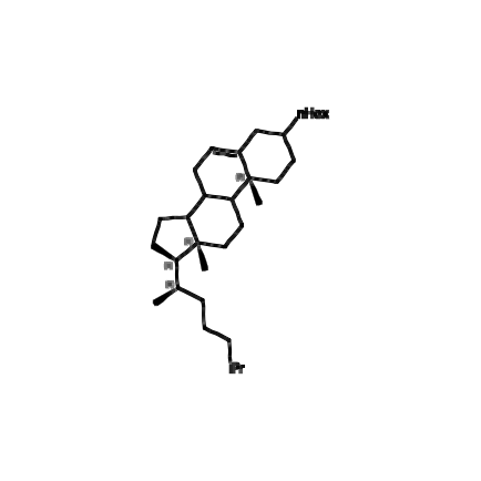 [CH2]CCCCCC1CC[C@@]2(C)C(=CCC3C2CC[C@@]2(C)C3CC[C@@H]2[C@H](C)CCCC(C)C)C1